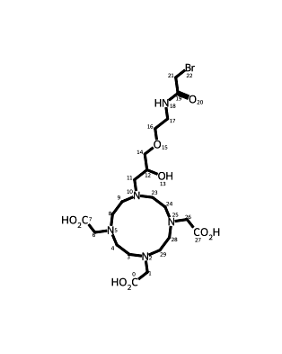 O=C(O)CN1CCN(CC(=O)O)CCN(CC(O)COCCNC(=O)CBr)CCN(CC(=O)O)CC1